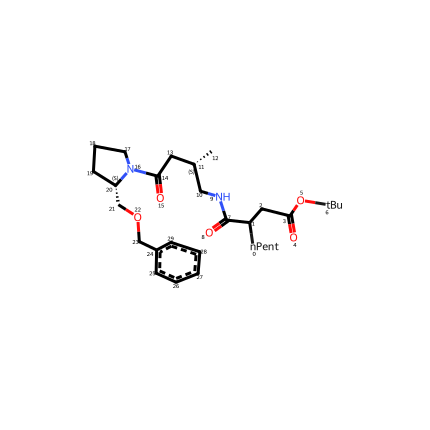 CCCCCC(CC(=O)OC(C)(C)C)C(=O)NC[C@@H](C)CC(=O)N1CCC[C@H]1COCc1ccccc1